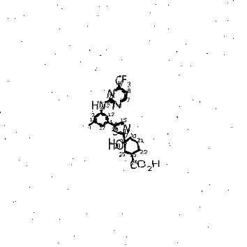 Cc1cc(Nc2nccc(C(F)(F)F)n2)cc(-c2cnc(C3(O)CCCC(C(=O)O)C3)s2)c1